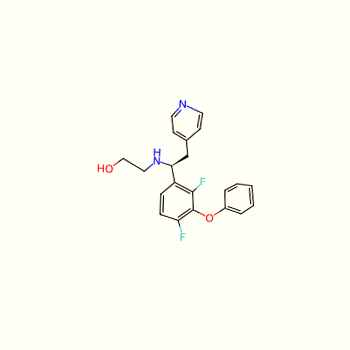 OCCN[C@@H](Cc1ccncc1)c1ccc(F)c(Oc2ccccc2)c1F